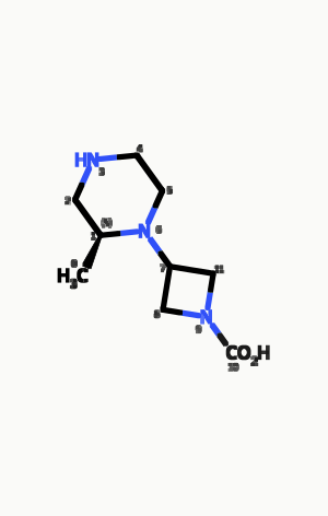 C[C@H]1CNCCN1C1CN(C(=O)O)C1